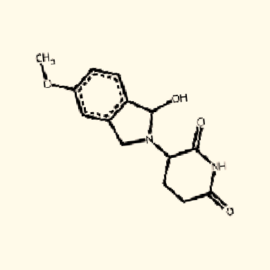 COc1ccc2c(c1)CN(C1CCC(=O)NC1=O)C2O